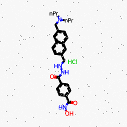 CCCN(CCC)Cc1ccc2cc(CNNC(=O)c3ccc(C(=O)NO)cc3)ccc2c1.Cl